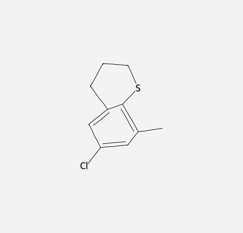 Cc1cc(Cl)cc2c1SCCC2